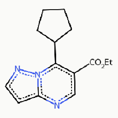 CCOC(=O)c1cnc2ccnn2c1C1CCCC1